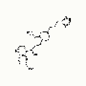 COc1ccc2nccc([C@H](O)CC[C@@H]3CCN(CCCc4nccs4)C[C@@H]3CC(=O)O)c2c1